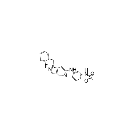 CS(=O)(=O)Nc1cccc(Nc2cc3c(cn2)cnn3Cc2ccccc2F)c1